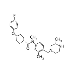 Cc1cc(N(C)C(=O)[C@H]2CC[C@H](Oc3ccc(F)cc3)CC2)ccc1CN1CCN[C@@H](C)C1